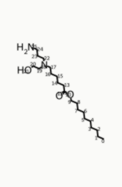 CCCCCCCCCCOC(=O)CCCCCN(CCO)CCCN